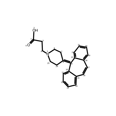 O=C(O)CCN1CCC(=C2c3ccccc3C=Cc3ccccc32)CC1